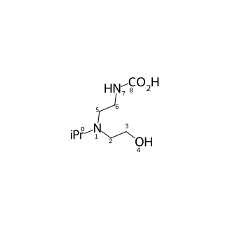 CC(C)N(CCO)CCNC(=O)O